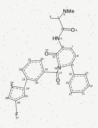 CNC(C)C(=O)Nc1ccc(-c2ccccc2)n(C(=O)c2cccc(-c3cc(F)cs3)c2)c1=O